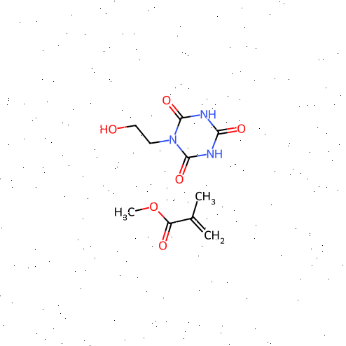 C=C(C)C(=O)OC.O=c1[nH]c(=O)n(CCO)c(=O)[nH]1